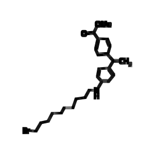 C=C(c1ccc(NCCCCCCCCCCBr)cc1)c1ccc(C(=O)OC)cc1